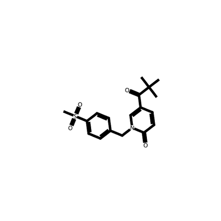 CC(C)(C)C(=O)c1ccc(=O)n(Cc2ccc(S(C)(=O)=O)cc2)c1